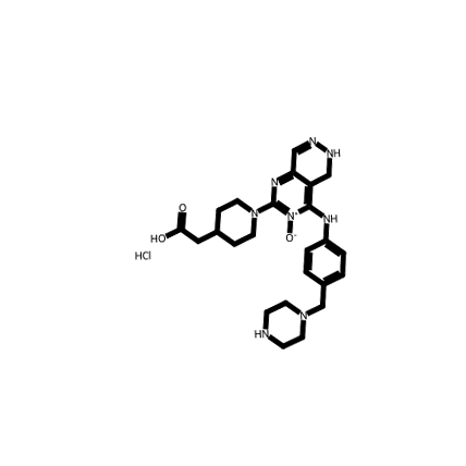 Cl.O=C(O)CC1CCN(c2nc3c(c(Nc4ccc(CN5CCNCC5)cc4)[n+]2[O-])CNN=C3)CC1